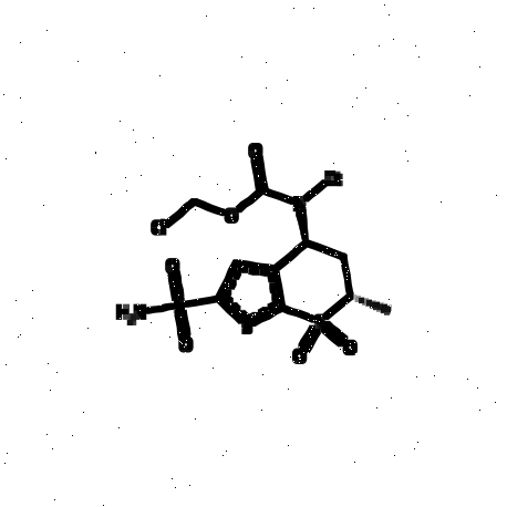 CCN(C(=O)OCCl)[C@H]1C[C@H](C)S(=O)(=O)c2sc(S(N)(=O)=O)cc21